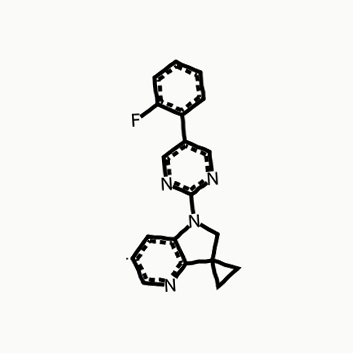 Fc1ccccc1-c1cnc(N2CC3(CC3)c3nc[c]cc32)nc1